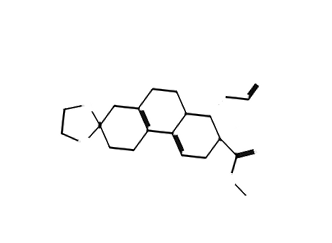 COC(=O)[C@@]1(C)CC=C2C3=C(CCC2[C@@H]1CC=O)CC1(CC3)OCCO1